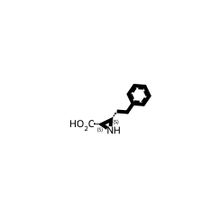 O=C(O)[C@H]1N[C@H]1CCc1ccccc1